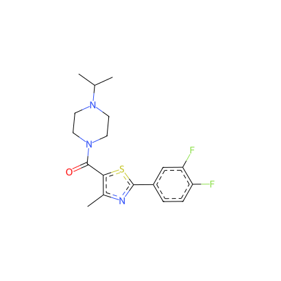 Cc1nc(-c2ccc(F)c(F)c2)sc1C(=O)N1CCN(C(C)C)CC1